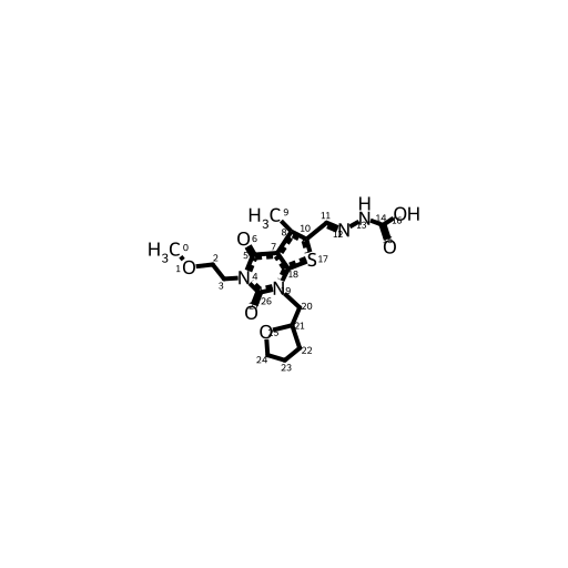 COCCn1c(=O)c2c(C)c(/C=N/NC(=O)O)sc2n(CC2CCCO2)c1=O